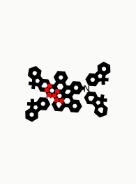 CC1(C)C2=C(CCC(N(c3ccc4c(c3)C(C)(C)c3ccccc3-4)c3ccc4c(-c5ccccc5C5=CC=CCC5)c5cc(N(C6=CC7=C(CC6)C6C=CC=CC6C7(C)C)c6ccc7c(c6)C(C)(C)c6ccccc6-7)ccc5c(-c5ccccc5-c5ccccc5)c4c3)=C2)c2ccccc21